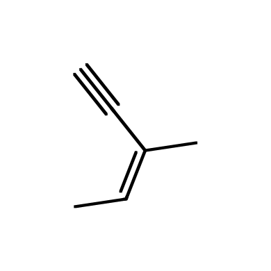 C#C/C(C)=C\C